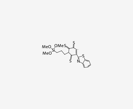 CO[Si](CCCC1C(=S)C(=S)[C]=C(c2nc3ccccc3s2)C1=S)(OC)OC